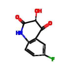 O=C1Nc2ccc(F)cc2C(=O)C1O